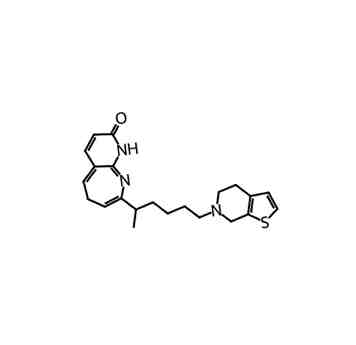 CC(CCCCN1CCc2ccsc2C1)C1=CCC=c2ccc(=O)[nH]c2=N1